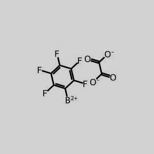 O=C([O-])C(=O)[O-].[B+2]c1c(F)c(F)c(F)c(F)c1F